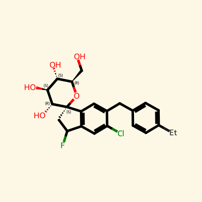 CCc1ccc(Cc2cc3c(cc2Cl)C(F)C[C@]32O[C@H](CO)[C@@H](O)[C@H](O)[C@H]2O)cc1